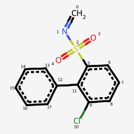 C=NS(=O)(=O)c1cccc(Cl)c1-c1ccccc1